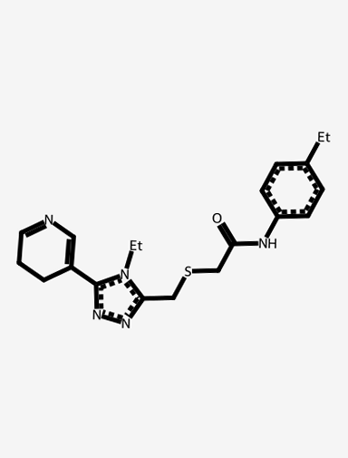 CCc1ccc(NC(=O)CSCc2nnc(C3=CN=CCC3)n2CC)cc1